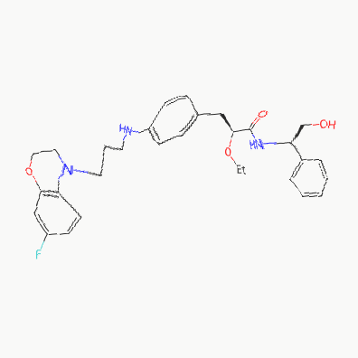 CCO[C@@H](Cc1ccc(NCCCN2CCOc3cc(F)ccc32)cc1)C(=O)N[C@@H](CO)c1ccccc1